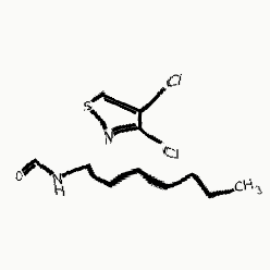 CCCCCCCNC=O.Clc1csnc1Cl